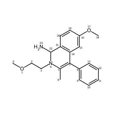 COCCN1C(C)=C(c2ccccc2)c2cc(OC)ccc2C1N